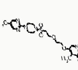 Cc1c(OCCOCCS(=O)(=O)N2CCN(c3ncc(C(F)(F)F)cn3)CC2)cn[nH]c1=O